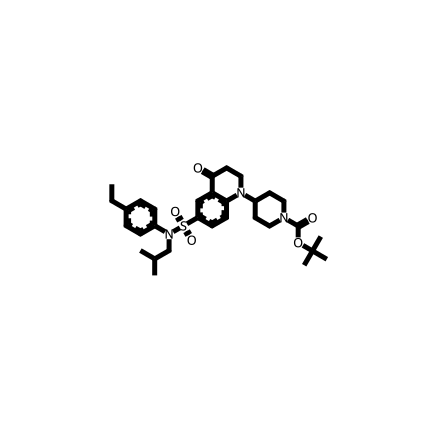 CCc1ccc(N(CC(C)C)S(=O)(=O)c2ccc3c(c2)C(=O)CCN3C2CCN(C(=O)OC(C)(C)C)CC2)cc1